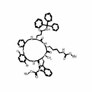 CN1C(=O)[C@H](CCCCNC(=O)OC(C)(C)C)NC(=O)[C@H](CCC(=O)NC(c2ccccc2)(c2ccccc2)c2ccccc2)NCc2cccnc2Sc2c(Cl)ccc(Br)c2CNC(=O)[C@@H]1Cc1cn(C(=O)OC(C)(C)C)c2ccccc12